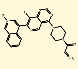 C=CC(=O)N1CCN(c2ncnc3c(F)c(-c4c[n+]([O-])cc5ccccc45)ncc23)CC1